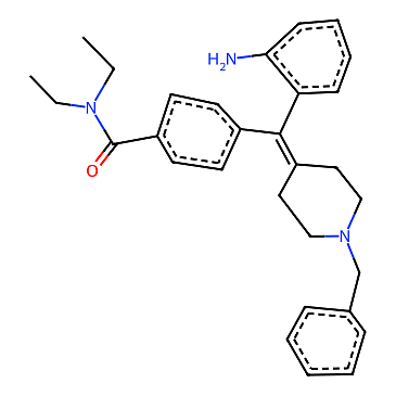 CCN(CC)C(=O)c1ccc(C(=C2CCN(Cc3ccccc3)CC2)c2ccccc2N)cc1